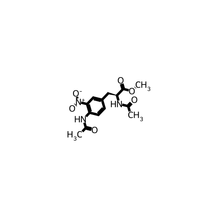 COC(=O)[C@H](Cc1ccc(NC(C)=O)c([N+](=O)[O-])c1)NC(C)=O